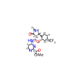 COC(=O)c1nccc(NC(=O)[C@@H]2C(=O)N(C)C[C@H]2c2ccc(C(F)(F)F)cc2)n1